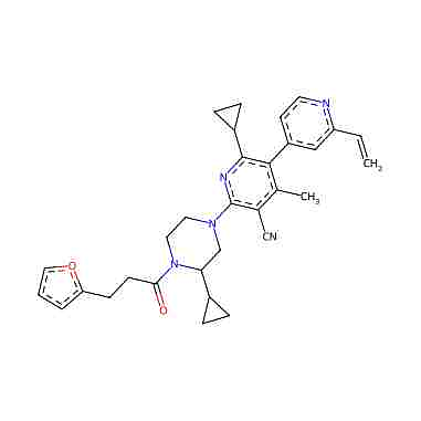 C=Cc1cc(-c2c(C3CC3)nc(N3CCN(C(=O)CCc4ccco4)C(C4CC4)C3)c(C#N)c2C)ccn1